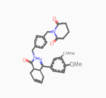 COc1ccc(C2=NN(Cc3ccc(CN4C(=O)CCCC4=O)cc3)C(=O)C3CC=CCC23)cc1OC